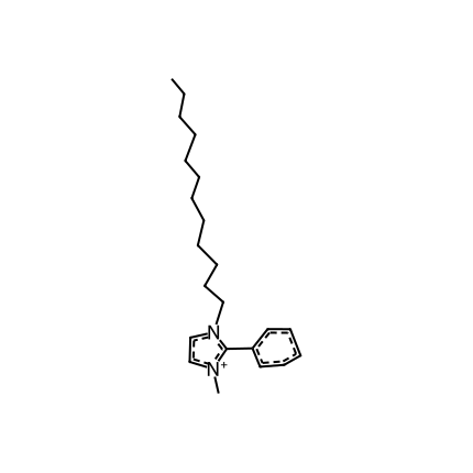 CCCCCCCCCCCCn1cc[n+](C)c1-c1ccccc1